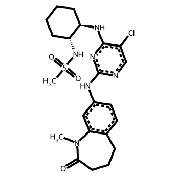 CN1C(=O)CCCc2ccc(Nc3ncc(Cl)c(N[C@@H]4CCCC[C@H]4NS(C)(=O)=O)n3)cc21